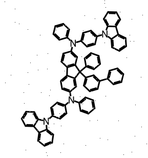 c1ccc(-c2cccc(C3(c4ccccc4)c4cc(N(c5ccccc5)c5ccc(-n6c7ccccc7c7ccccc76)cc5)ccc4-c4ccc(N(c5ccccc5)c5ccc(-n6c7ccccc7c7ccccc76)cc5)cc43)c2)cc1